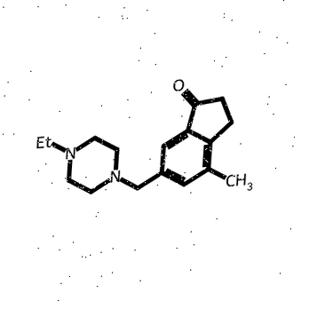 CCN1CCN(Cc2cc(C)c3c(c2)C(=O)CC3)CC1